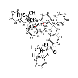 CCC(Cc1ccccc1)(C(=O)c1ccc(CC2(Cc3ccc(C(=O)C(CC)(Cc4ccccc4)N(C)C)cc3)c3ccccc3-c3ccc(C(OC)c4ccccc4)cc32)cc1)N(C)C